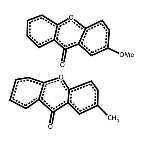 COc1ccc2oc3ccccc3c(=O)c2c1.Cc1ccc2oc3ccccc3c(=O)c2c1